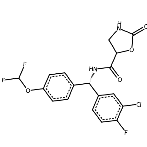 O=C1NCC(C(=O)N[C@@H](c2ccc(OC(F)F)cc2)c2ccc(F)c(Cl)c2)O1